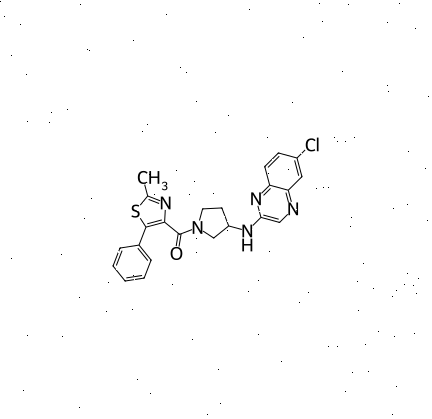 Cc1nc(C(=O)N2CCC(Nc3cnc4cc(Cl)ccc4n3)C2)c(-c2ccccc2)s1